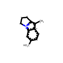 Cc1c2n(c3cc(C(=O)O)ccc13)CCC2